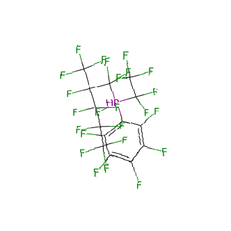 Fc1c(F)c(F)c([PH](F)(C(F)(F)C(F)(F)F)C(F)(F)C(F)(C(F)(F)F)C(F)(F)C(F)(F)C(F)(F)F)c(F)c1F